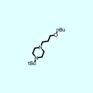 CCCCOCCCN1CCN(C(C)(C)C)CC1